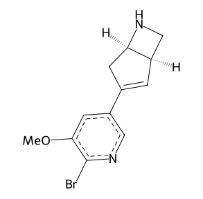 COc1cc(C2=C[C@@H]3CN[C@@H]3C2)cnc1Br